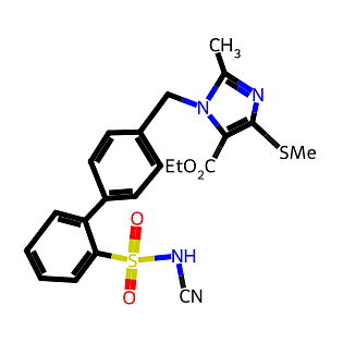 CCOC(=O)c1c(SC)nc(C)n1Cc1ccc(-c2ccccc2S(=O)(=O)NC#N)cc1